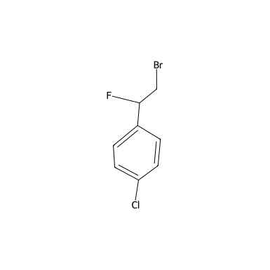 FC(CBr)c1ccc(Cl)cc1